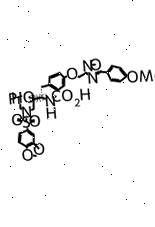 COc1ccc(-c2nc(COc3ccc(C[C@H](NC(=O)O)[C@H](O)CN(CC(C)C)S(=O)(=O)c4ccc5c(c4)OCO5)cc3)no2)cc1